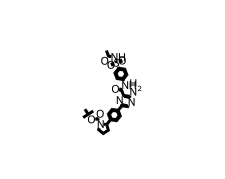 CC(=O)NS(=O)(=O)c1ccc(NC(=O)c2nc(-c3ccc(C4CCCN4C(=O)OC(C)(C)C)cc3)cnc2N)cc1